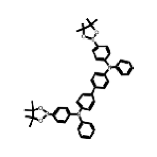 CC1(C)OB(c2ccc(N(c3ccccc3)c3ccc(-c4ccc(N(c5ccccc5)c5ccc(B6OC(C)(C)C(C)(C)O6)cc5)cc4)cc3)cc2)OC1(C)C